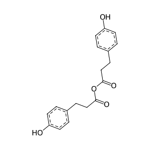 O=C(CCc1ccc(O)cc1)OC(=O)CCc1ccc(O)cc1